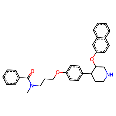 CN(CCCOc1ccc(C2CCNCC2Oc2ccc3ccccc3c2)cc1)C(=O)c1ccccc1